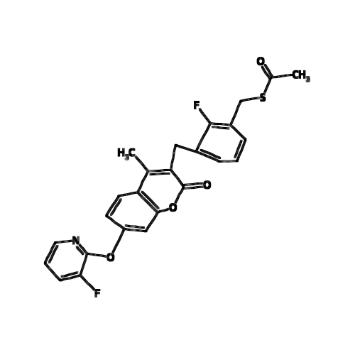 CC(=O)SCc1cccc(Cc2c(C)c3ccc(Oc4ncccc4F)cc3oc2=O)c1F